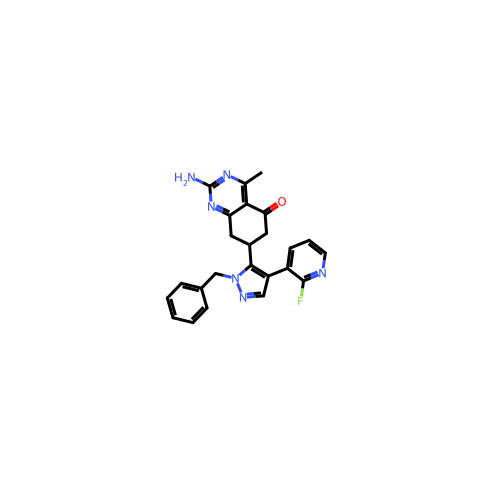 Cc1nc(N)nc2c1C(=O)CC(c1c(-c3cccnc3F)cnn1Cc1ccccc1)C2